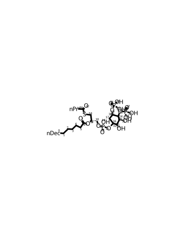 CCCCCCCCCCCCCCCC(=O)O[C@@H](COP(=O)(O)OC1C[C@@H](OP(=O)(O)O)C(OP(=O)(O)O)[C@@H](O)[C@H]1O)CSC(=O)CCC